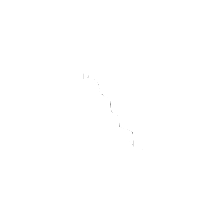 CC(C)(C)CNCCCCCN